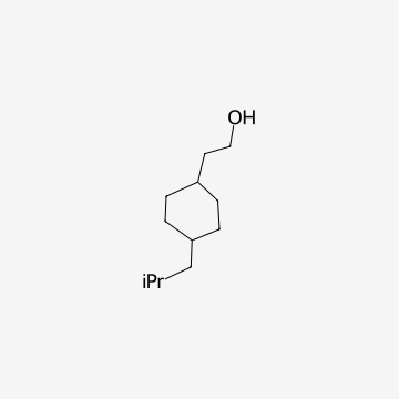 CC(C)CC1CCC(CCO)CC1